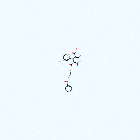 COC(=O)C1=C(C)NC(C)=C(C(=O)OCCCSC(=O)c2ccccc2)C1c1cccc([N+](=O)[O-])c1